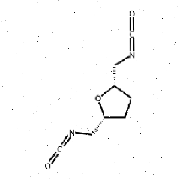 O=C=NC[C@H]1CC[C@@H](CN=C=O)O1